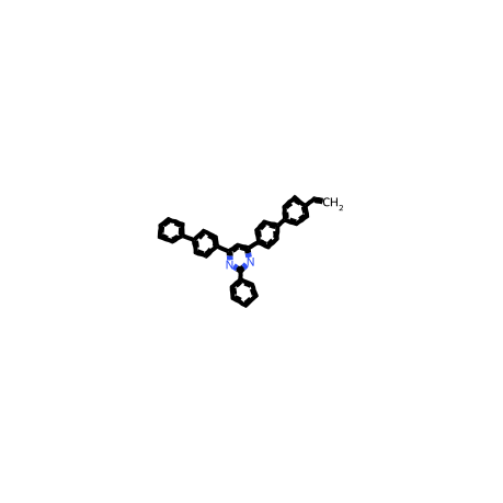 C=Cc1ccc(-c2ccc(-c3cc(-c4ccc(-c5ccccc5)cc4)nc(-c4ccccc4)n3)cc2)cc1